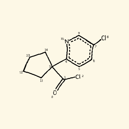 O=C(Cl)C1(c2ccc(Cl)cn2)CCCC1